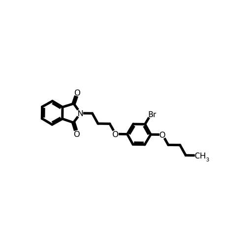 CCCCOc1ccc(OCCCN2C(=O)c3ccccc3C2=O)cc1Br